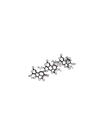 CC(C)c1oc(=O)cc2c1[C@@H](O)C1OC(=O)[C@]3(C)C1[C@]2(C)C[C@H](OC(C)c1oc(=O)cc2c1[C@@H](O)C1OC(=O)[C@@]4(C)C[C@@H](OC(C)c5oc(=O)cc6c5[C@@H](O)C5OC(=O)[C@]7(C)C5[C@]6(C)[C@@H]5O[C@@H]5[C@@H]7O)[C@@H](O)[C@@]2(C)C14)[C@@H]3O